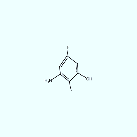 Cc1c(N)cc(F)cc1O